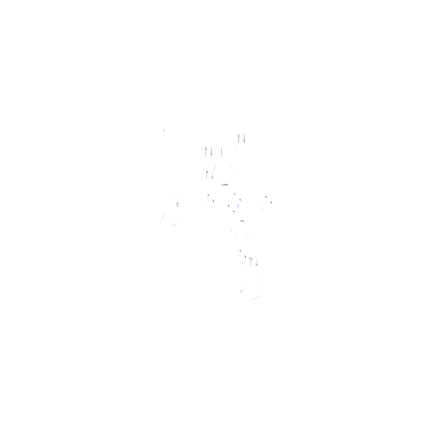 C=CS(=O)(=O)CCN(C)c1nc(NCCCOC)c(C#N)c(C)c1/N=N/c1sc(/N=N/c2ccccc2)cc1C#N